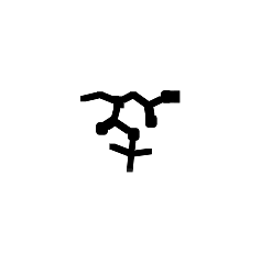 CCN(CC(=O)O)C(=O)OC(C)(C)C